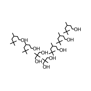 CC(C)(CO)CO.CC(C)(CO)CO.CC(CCO)CC(C)(C)C.CC(CCO)CC(C)(C)C.CC(CCO)CC(C)(C)C.CC(CCO)CC(C)(C)C.CC(CCO)CC(C)(C)C